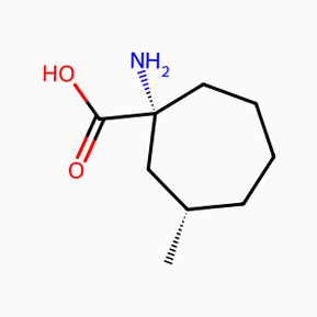 C[C@H]1CCCC[C@](N)(C(=O)O)C1